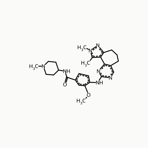 COc1cc(C(=O)NC2CCN(C)CC2)ccc1Nc1ncc2c(n1)-c1c(nn(C)c1C)CCC2